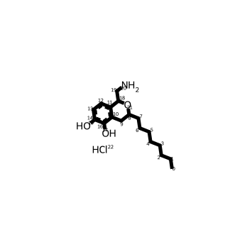 CCCCCCCCC1Cc2c(ccc(O)c2O)C(CN)O1.Cl